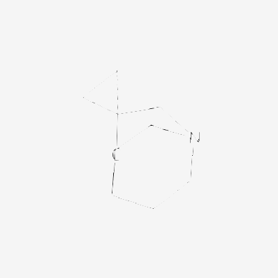 C1CN2CCC1CC1(CC1)C2